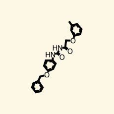 Cc1cccc(OCC(=O)NC(=O)Nc2ccc(OCc3ccccc3)cc2)c1